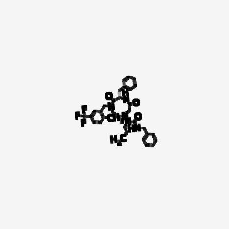 C=CCN(C(=O)NCc1ccccc1)N1CCN(Cc2cc(C(F)(F)F)ccc2C)C(=O)[C@H](Cc2ccccc2)NC(=O)C1